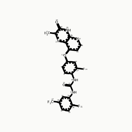 Cc1nc2c(Oc3ccc(NC(=O)Nc4cc(C(F)(F)F)ccc4F)c(F)c3)ccnc2[nH]c1=O